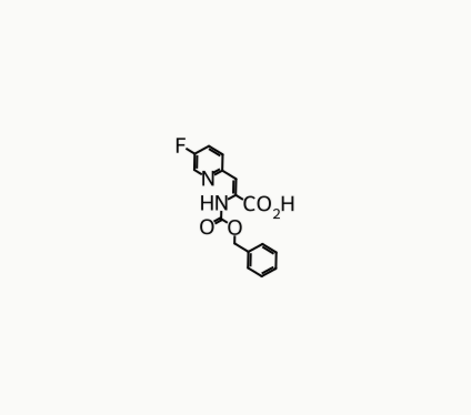 O=C(NC(=Cc1ccc(F)cn1)C(=O)O)OCc1ccccc1